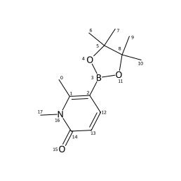 Cc1c(B2OC(C)(C)C(C)(C)O2)ccc(=O)n1C